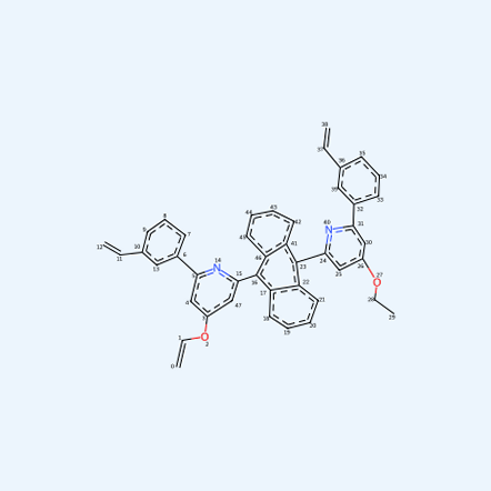 C=COc1cc(-c2cccc(C=C)c2)nc(-c2c3ccccc3c(-c3cc(OCC)cc(-c4cccc(C=C)c4)n3)c3ccccc23)c1